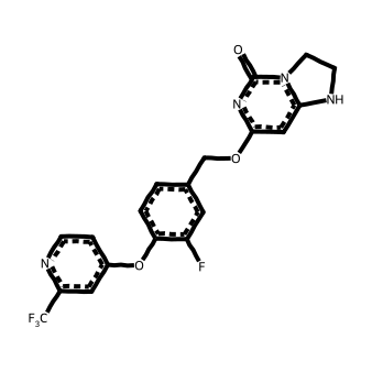 O=c1nc(OCc2ccc(Oc3ccnc(C(F)(F)F)c3)c(F)c2)cc2n1CCN2